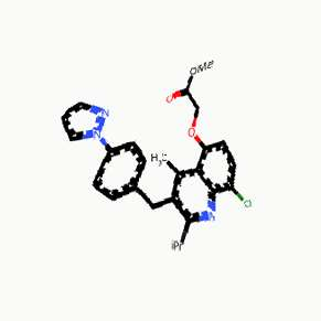 COC(=O)COc1ccc(Cl)c2nc(C(C)C)c(Cc3ccc(-n4cccn4)cc3)c(C)c12